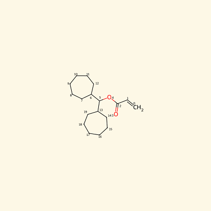 C=CC(=O)OC(C1CCCCCC1)C1CCCCCC1